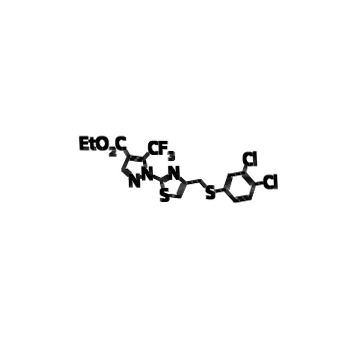 CCOC(=O)c1cnn(-c2nc(CSc3ccc(Cl)c(Cl)c3)cs2)c1C(F)(F)F